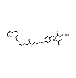 CCCCCCCC/C=C\C/C=C\C/C=C\C/C=C\CCC(=O)NCCCOc1ccc(C[C@H](NC(=O)CC)C(=O)NCCCCCCC)cc1